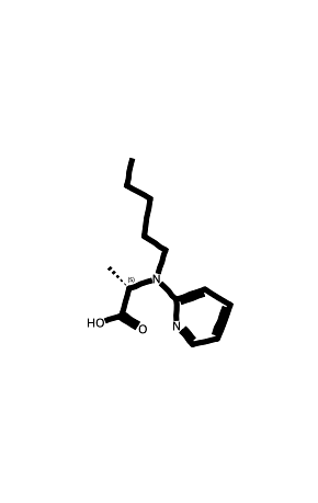 CCCCCN(c1ccccn1)[C@@H](C)C(=O)O